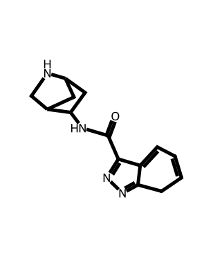 O=C(NC1CC2CC1CN2)C1=NN=C2CC=CC=C21